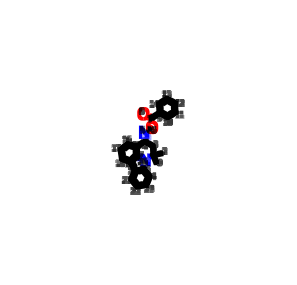 CC1(C)C/C(=N\OC(=O)c2ccccc2)c2cccc3c4ccccc4n1c23